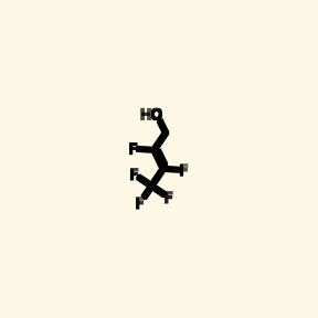 OC/C(F)=C(\F)C(F)(F)F